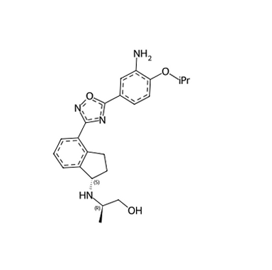 CC(C)Oc1ccc(-c2nc(-c3cccc4c3CC[C@@H]4N[C@H](C)CO)no2)cc1N